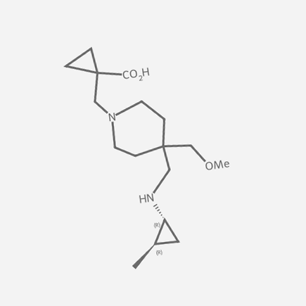 COCC1(CN[C@@H]2C[C@H]2C)CCN(CC2(C(=O)O)CC2)CC1